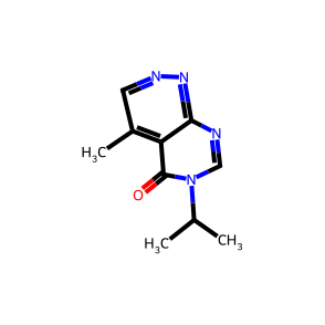 Cc1cnnc2ncn(C(C)C)c(=O)c12